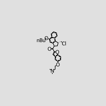 CCCCOc1cc2c(c3ccccc13)[C@H](CCl)CC2C(=O)c1cc2cc(OCCN(C)C)ccc2o1